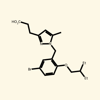 CCC(CC)COc1ccc(Br)cc1Cn1nc(CCC(=O)O)cc1C